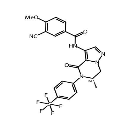 COc1ccc(C(=O)Nc2cnn3c2C(=O)N(c2ccc(S(F)(F)(F)(F)F)cc2)[C@@H](C)C3)cc1C#N